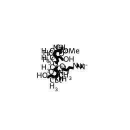 CC[C@]1(C)C(CO)O[C@@](C)(COC[C@]2(C)C(CO)O[C@@](C)(COC)C(C)(N)[C@]2(C)O)C(C)(NC(=O)CCCN=[N+]=[N-])[C@]1(C)O